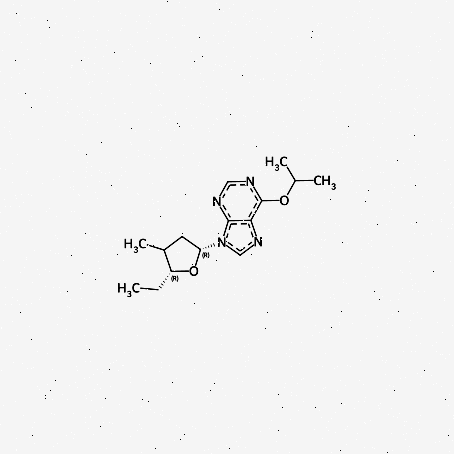 CC[C@H]1O[C@@H](n2cnc3c(OC(C)C)ncnc32)CC1C